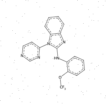 FC(F)(F)Oc1ccccc1Nc1nc2ccccc2n1-c1ccncn1